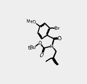 C=C(C)CN(C(=O)OC(C)(C)C)C(=O)c1ccc(OC)cc1Br